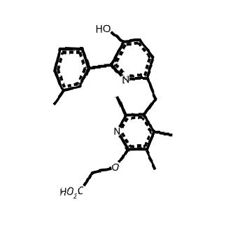 Cc1cccc(-c2nc(Cc3c(C)nc(OCC(=O)O)c(C)c3C)ccc2O)c1